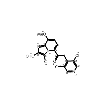 COc1ccc(C(=O)Cc2c(Cl)cncc2Cl)n2c(Cl)c(C=O)nc12